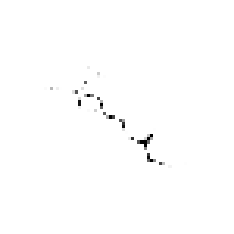 CCCCCCC[CH]CCC(=O)NCCC[Si](OC)(OC)OC